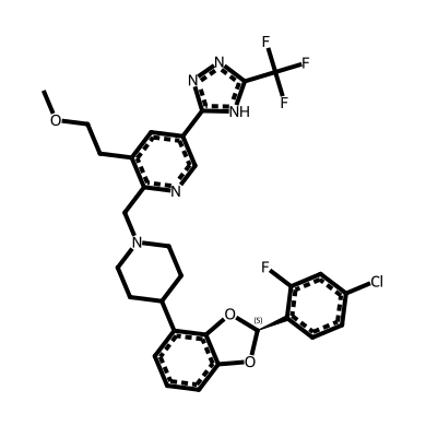 COCCc1cc(-c2nnc(C(F)(F)F)[nH]2)cnc1CN1CCC(c2cccc3c2O[C@@H](c2ccc(Cl)cc2F)O3)CC1